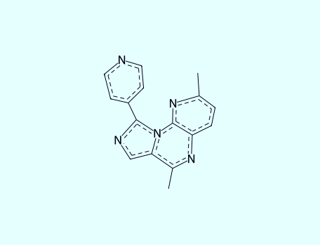 Cc1ccc2nc(C)c3cnc(-c4ccncc4)n3c2n1